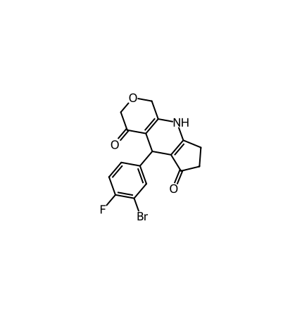 O=C1CCC2=C1C(c1ccc(F)c(Br)c1)C1=C(COCC1=O)N2